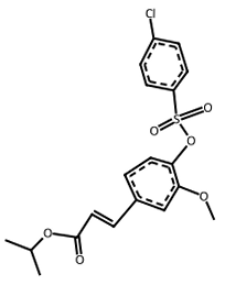 COc1cc(C=CC(=O)OC(C)C)ccc1OS(=O)(=O)c1ccc(Cl)cc1